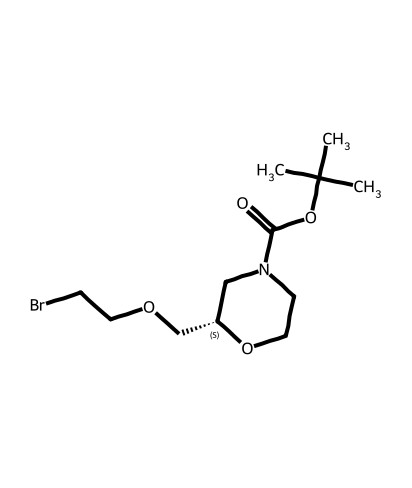 CC(C)(C)OC(=O)N1CCO[C@H](COCCBr)C1